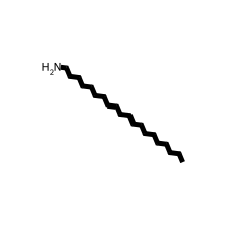 CCCCCCCC/C=C/C/C=C/CCCCCCCN